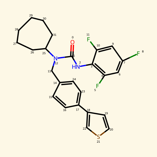 O=C(Nc1c(F)cc(F)cc1F)N(Cc1ccc(-c2ccsc2)cc1)C1CCCCCC1